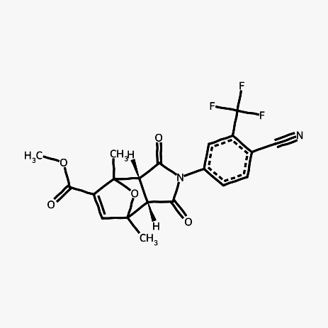 COC(=O)C1=CC2(C)OC1(C)[C@@H]1C(=O)N(c3ccc(C#N)c(C(F)(F)F)c3)C(=O)[C@@H]12